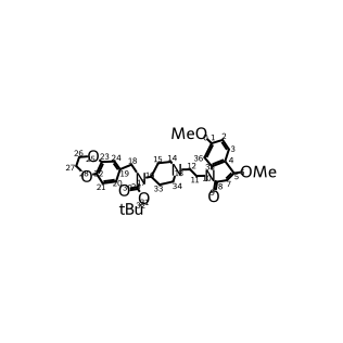 COc1ccc2c(OC)cc(=O)n(CCN3CCC(N(Cc4ccc5c(c4)OCCO5)C(=O)OC(C)(C)C)CC3)c2c1